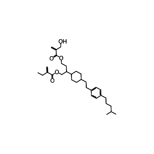 C=C(CC)C(=O)OCC(CCOC(=O)C(=C)CO)C1CCC(CCc2ccc(CCCC(C)C)cc2)CC1